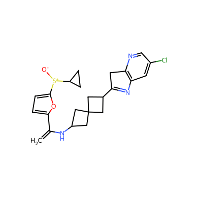 C=C(NC1CC2(C1)CC(C1=Nc3cc(Cl)cnc3C1)C2)c1ccc([S+]([O-])C2CC2)o1